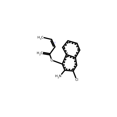 C=C(/C=C\C)Oc1c(N)c(Cl)cc2ccccc12